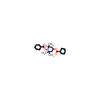 CC1(C)CC(OC(=O)c2ccccc2)CC(C)(C)N1OC(=O)c1ccccc1